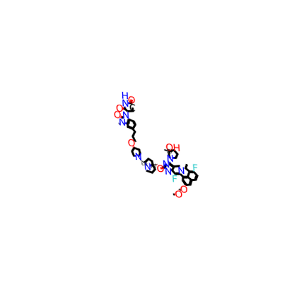 CCc1c(F)ccc2cc(OCOC)cc(-c3ncc4c(N5CCC[C@@](C)(O)C5)nc(OC[C@]56CCCN5[C@H](CN5CCC(OCCCc7ccc8c(c7)n(C)c(=O)n8C7CCC(=O)NC7=O)CC5)CC6)nc4c3F)c12